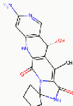 Cc1c2c(c(=O)n3c1C(=O)NC31CCCC1)Nc1cc(N)ncc1[C@@H]2O